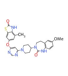 COc1ccc2c(c1)CCN(C1CCN(c3cc(Oc4cc(C)c5[nH]c(=O)sc5c4)ncn3)CC1)C(=O)N2